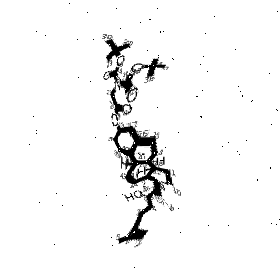 CC(C)CC[C@H](O)[C@@H](C)[C@H]1CC[C@H]2[C@@H]3CC=C4CC(OC(=O)CN(C(=O)OC(C)(C)C)C(=O)OC(C)(C)C)CC[C@]4(C)[C@H]3CC[C@]12C